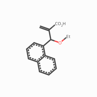 C=C(C(=O)O)C(OCC)c1cccc2ccccc12